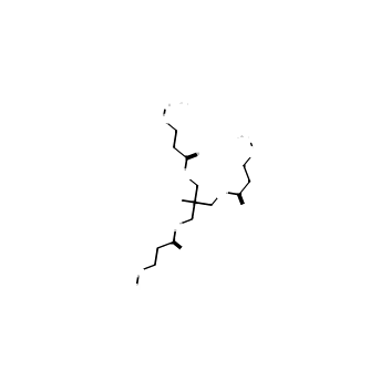 CCCCCCSCCC(=O)OCC(CC)(COC(=O)CCSCCCCCC)COC(=O)CCSCCCCCC